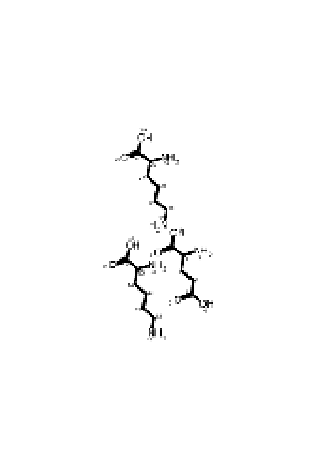 NC(CCC(=O)O)C(=O)O.NCCCCC(N)C(=O)O.NCCCCC(N)C(=O)O